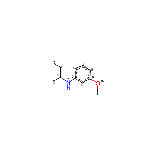 CCC(C)Nc1cccc(OC)c1